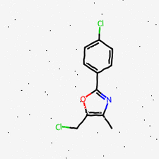 Cc1nc(-c2ccc(Cl)cc2)oc1CCl